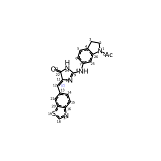 CC(=O)N1CCc2ccc(NC3=N/C(=C\c4ccc5ncsc5c4)C(=O)N3)cc21